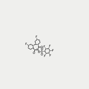 O=c1c2ccc(F)cc2c2cc(F)ccc2c(=O)n1OS(=O)(=O)c1c(F)c(F)c(F)c(F)c1F